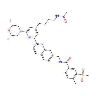 CC(=O)NCCCCc1cc(-c2ccc3cnc(CNC(=O)c4ccc(C)c(S(C)(=O)=O)c4)cc3n2)nc(N2C[C@@H](C)O[C@@H](C)C2)c1